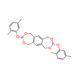 Cc1ccc(C)c(OP2OCc3cc4c(cc3CO2)COP(Oc2cc(C)ccc2C)OC4)c1